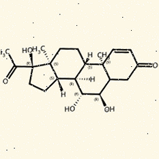 CC(=O)[C@@]1(O)CC[C@H]2[C@@H]3[C@@H](O)[C@H](O)C4CC(=O)C=C[C@]4(C)[C@H]3CC[C@@]21C